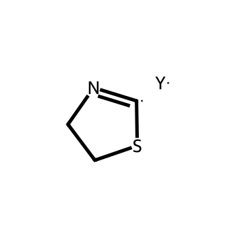 [C]1=NCCS1.[Y]